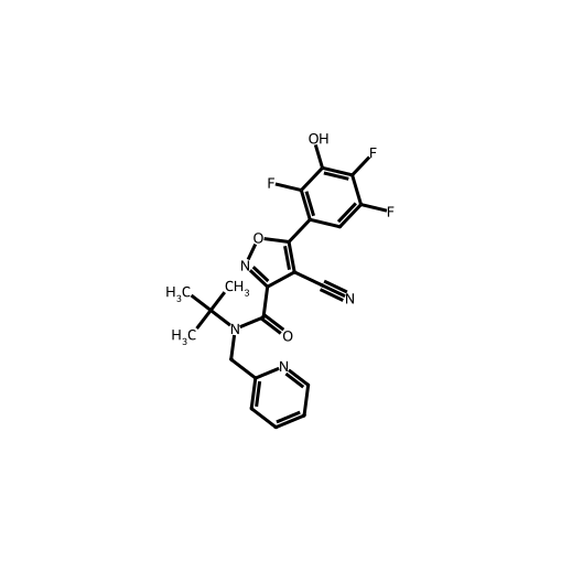 CC(C)(C)N(Cc1ccccn1)C(=O)c1noc(-c2cc(F)c(F)c(O)c2F)c1C#N